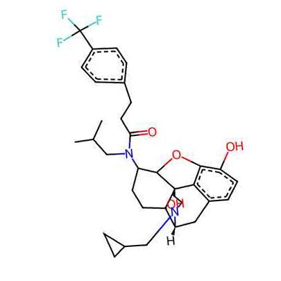 CC(C)CN(C(=O)CCc1ccc(C(F)(F)F)cc1)C1CC[C@@]2(O)[C@H]3Cc4ccc(O)c5c4[C@@]2(CCN3CC2CC2)C1O5